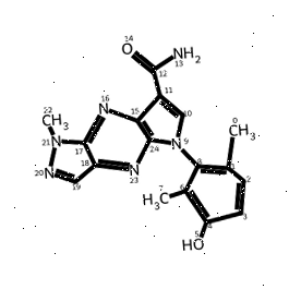 Cc1ccc(O)c(C)c1-n1cc(C(N)=O)c2nc3c(cnn3C)nc21